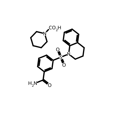 NC(=O)c1cccc(S(=O)(=O)N2CCCc3ccccc32)c1.O=C(O)N1CCCCC1